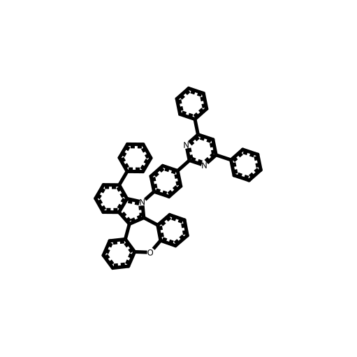 c1ccc(-c2cc(-c3ccccc3)nc(-c3ccc(-n4c5c(c6cccc(-c7ccccc7)c64)-c4ccccc4Oc4ccccc4-5)cc3)n2)cc1